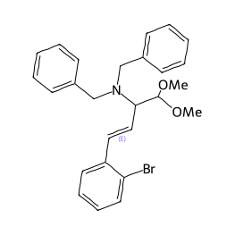 COC(OC)C(/C=C/c1ccccc1Br)N(Cc1ccccc1)Cc1ccccc1